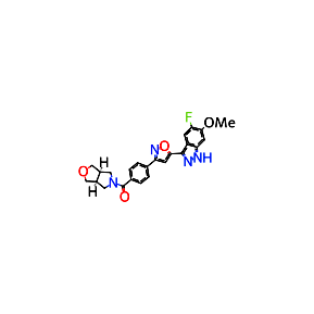 COc1cc2[nH]nc(-c3cc(-c4ccc(C(=O)N5C[C@H]6COC[C@H]6C5)cc4)no3)c2cc1F